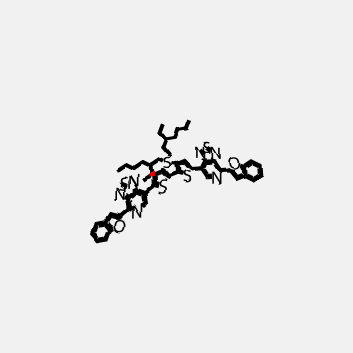 CCCCC(CC)CCS1(CC(CC)CCCC)c2cc(-c3cnc(-c4cc5ccccc5o4)c4nsnc34)sc2-c2sc(-c3cnc(-c4cc5ccccc5o4)c4nsnc34)cc21